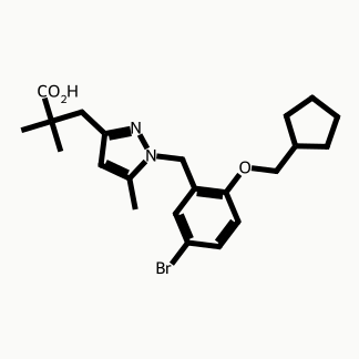 Cc1cc(CC(C)(C)C(=O)O)nn1Cc1cc(Br)ccc1OCC1CCCC1